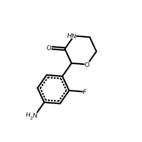 Nc1ccc(C2OCCNC2=O)c(F)c1